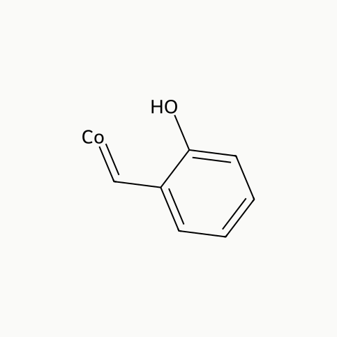 Oc1ccccc1[CH]=[Co]